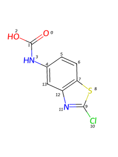 O=C(O)Nc1ccc2sc(Cl)nc2c1